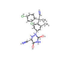 Cc1cc(-n2nc(C#N)c(=O)[nH]c2=O)cc(Cl)c1C(C)(C#N)c1ccc(Cl)cc1